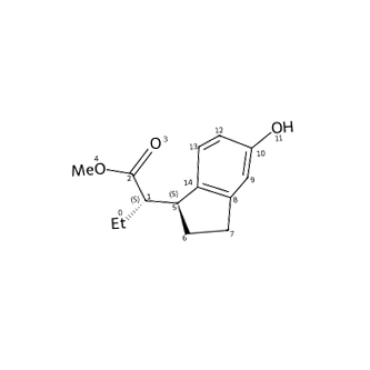 CC[C@H](C(=O)OC)[C@@H]1CCc2cc(O)ccc21